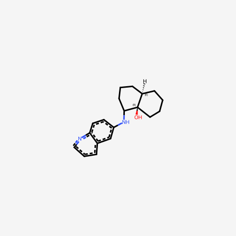 O[C@]12CCCC[C@@H]1CCCC2Nc1ccc2ncccc2c1